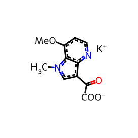 COc1ccnc2c(C(=O)C(=O)[O-])cn(C)c12.[K+]